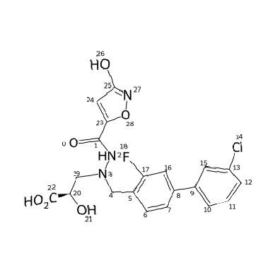 O=C(NN(Cc1ccc(-c2cccc(Cl)c2)cc1F)C[C@@H](O)C(=O)O)c1cc(O)no1